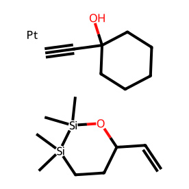 C#CC1(O)CCCCC1.C=CC1CC[Si](C)(C)[Si](C)(C)O1.[Pt]